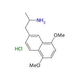 COc1ccc(OC)c2cc(CC(C)N)ccc12.Cl